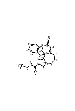 CCOC(=O)c1cc2n(c1)CCCC1=CC(=O)CCC12Cc1ccccc1